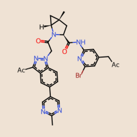 CC(=O)Cc1cc(Br)nc(NC(=O)[C@@H]2C[C@@]3(C)C[C@H]3N2C(=O)Cn2nc(C(C)=O)c3cc(-c4cnc(C)nc4)ccc32)c1